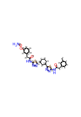 Cc1cccc(CC(=O)Nc2nnc([C@@H]3CCC[C@@H](c4nnc(NC(=O)Cc5cccc(OON)c5)s4)C3)s2)c1